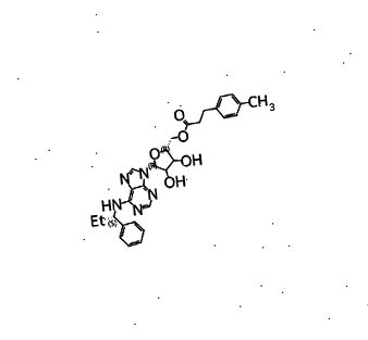 CC[C@H](Nc1ncnc2c1ncn2[C@@H]1O[C@H](COC(=O)CCc2ccc(C)cc2)C(O)C1O)c1ccccc1